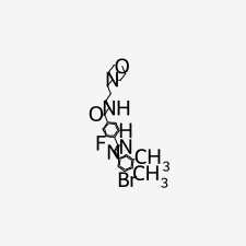 Cc1c(Br)cc2nc(-c3ccc(C(=O)NCCCN4CCOCC4)cc3F)[nH]c2c1C